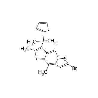 CC1=C(C(C)(C)C2=CC=CC2)C2=CC3SC(Br)=CC3=C(C)C2=C1